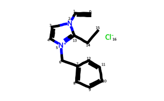 C=Cn1cc[n+](Cc2ccccc2)c1CC.[Cl-]